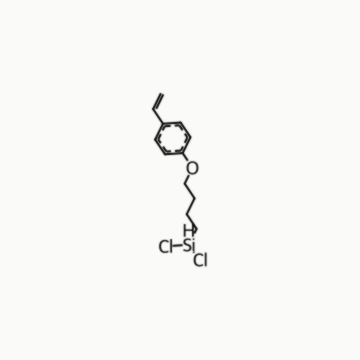 C=Cc1ccc(OCCCC[SiH](Cl)Cl)cc1